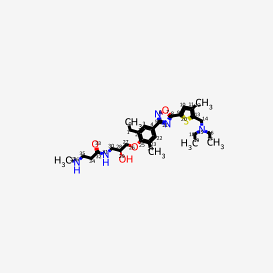 CCc1cc(-c2noc(-c3cc(C)c(CN(CC)CC)s3)n2)cc(C)c1OC[C@@H](O)CNC(=O)CCNC